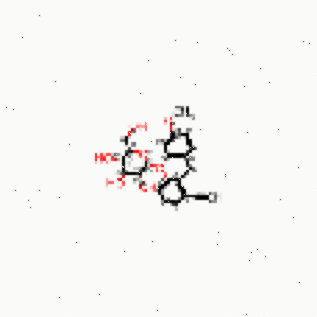 C#Cc1cccc(O[C@@H]2O[C@H](CO)[C@@H](O)[C@H](O)[C@H]2O)c1Cc1ccc(OC)cc1